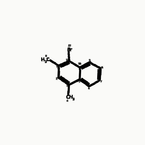 Cc1cc(C)c2ccccc2c1Br